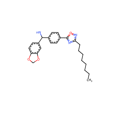 CCCCCCCCc1noc(-c2ccc(C([NH])c3ccc4c(c3)OCO4)cc2)n1